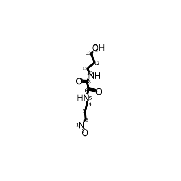 O=NCCCNC(=O)C(=O)NCCCO